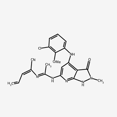 C=C/C=C(C#N)\N=C(/C)Nc1cc(Nc2cccc(Cl)c2OC)c2c(=O)n(C)[nH]c2n1